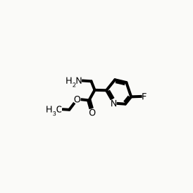 CCOC(=O)C(CN)c1ccc(F)cn1